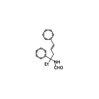 CCC(CC=Cc1ccccc1)(NC=O)c1ccccc1